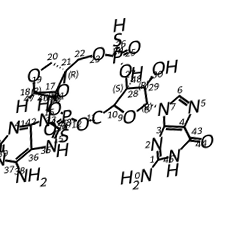 Nc1nc2c(ncn2[C@@H]2OC3CO[P@@](=O)(S)O[C@H]4[C@H]5OC[C@]4(CO[P@@](=O)(S)O[C@H]3[C@H]2O)O[C@H]5n2cnc3c(N)ncnc32)c(=O)[nH]1